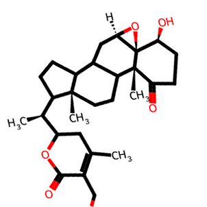 CC1=C(CO)C(=O)OC([C@@H](C)C2CCC3C4C[C@H]5O[C@]56[C@@H](O)CCC(=O)[C@]6(C)C4CC[C@@]32C)C1